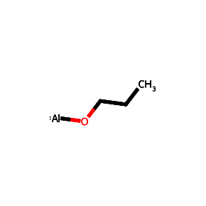 CCC[O][Al]